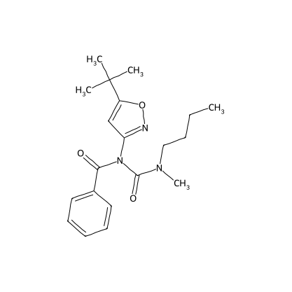 CCCCN(C)C(=O)N(C(=O)c1ccccc1)c1cc(C(C)(C)C)on1